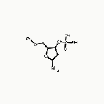 BC1CC(OP(=O)(O)S)C(COC(C)C)O1